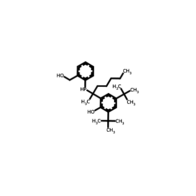 CCCCCC(C)(Pc1ccccc1CO)c1cc(C(C)(C)C)cc(C(C)(C)C)c1O